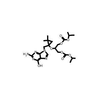 CC(C)OC(=O)OC[C](COC(=O)OC(C)C)OC1(Cn2cnc3c(O)nc(N)nc32)CC1(C)C